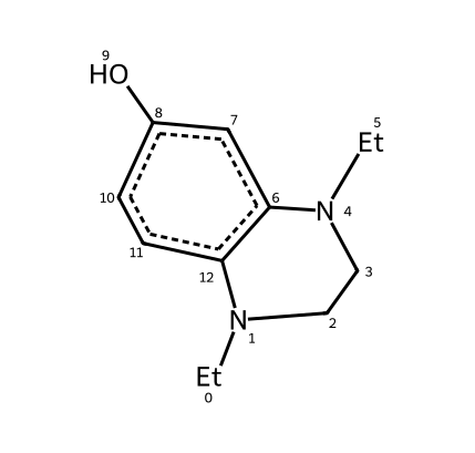 CCN1CCN(CC)c2cc(O)ccc21